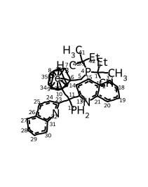 CCC(C)(C)P(C[C]12[CH]3[CH]4[CH]5[C]1(C(P)(c1ccc6ccccc6n1)c1ccc6ccccc6n1)[Fe]43521678[CH]2[CH]1[CH]6[CH]7[CH]28)C(C)(C)CC